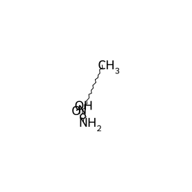 CCCCCCCCCCCCCCCCCCN(C(=O)O)c1ccc(N)cc1